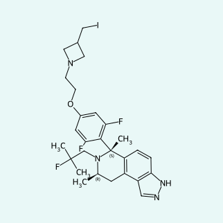 C[C@@H]1Cc2c(ccc3[nH]ncc23)[C@@](C)(c2c(F)cc(OCCN3CC(CI)C3)cc2F)N1CC(C)(C)F